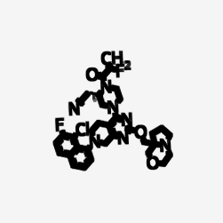 C=C(F)C(=O)N1CCN(c2nc(OCC34CCCN3CCOC4)nc3c2CCN(c2cccc4ccc(F)c(Cl)c24)C3)C[C@@H]1CC#N